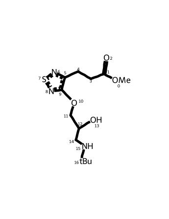 COC(=O)CCc1nsnc1OCC(O)CNC(C)(C)C